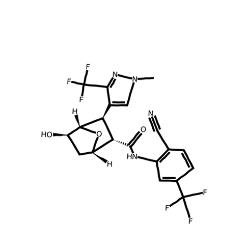 Cn1cc([C@@H]2[C@@H]3O[C@@H](C[C@H]3O)[C@H]2C(=O)Nc2cc(C(F)(F)F)ccc2C#N)c(C(F)(F)F)n1